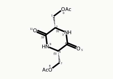 CC(=O)OC[C@@H]1NC(=O)[C@H](COC(C)=O)NC1=O